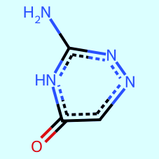 Nc1nncc(=O)[nH]1